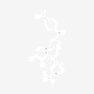 CC(=O)N1CCC(C(=O)N2C[C@H](CNc3cc(C(F)(F)F)ncn3)[C@@H](c3ccc(Cl)c(Cl)c3)C2)CC1